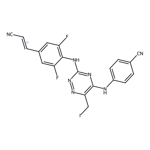 N#C/C=C/c1cc(F)c(Nc2nnc(CI)c(Nc3ccc(C#N)cc3)n2)c(F)c1